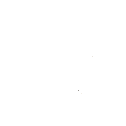 CC(C)(C)NC(=O)[C@H]1NCCc2ccccc21